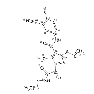 C=CCNC(=O)C(=O)c1cn(CC=C)c(C(=O)Nc2ccc(F)c(C#N)c2)c1C